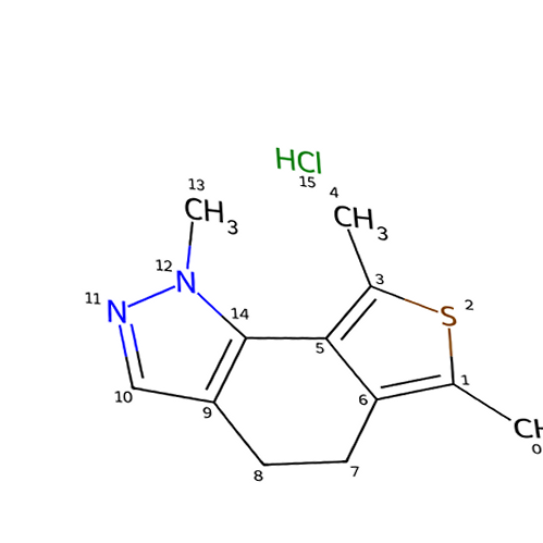 Cc1sc(C)c2c1CCc1cnn(C)c1-2.Cl